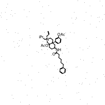 C=CC[N@@+]1(CC(C)C)CC[C@]2(c3cccc(OC(C)=O)c3)C[C@@H](NC(=O)CCCCCc3ccccc3)CCC2(OC(C)=O)C1